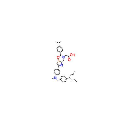 CCCC(CCC)c1ccc(CN(C)c2ccc(-c3csc(CN(CC(=O)O)C(=O)c4ccc(C(C)C)cc4)n3)cc2)cc1